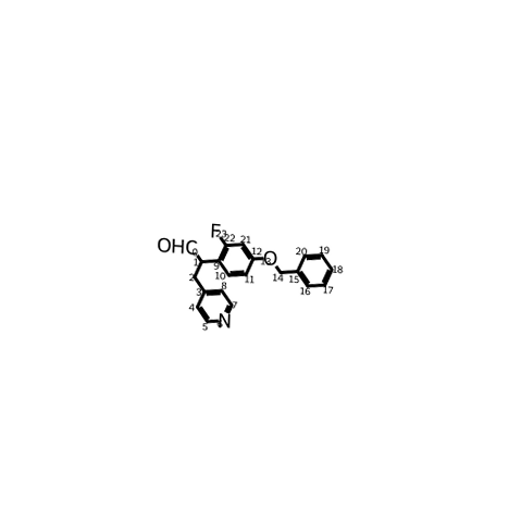 O=CC(Cc1ccncc1)c1ccc(OCc2ccccc2)cc1F